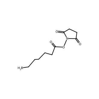 BCCCCCC(=O)ON1C(=O)CCC1=O